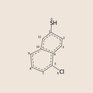 Sc1ccc2c(Cl)cccc2c1